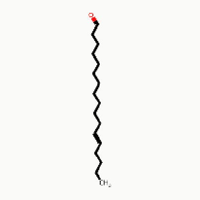 CCCCC=CCCCCCCCCCCC=O